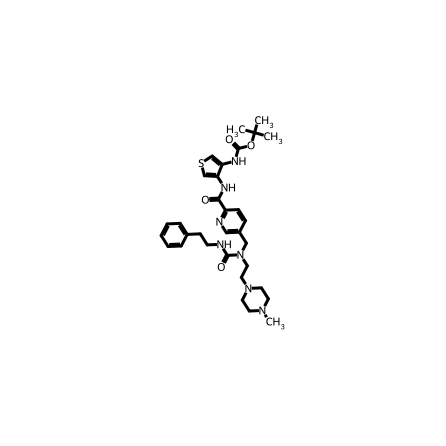 CN1CCN(CCN(Cc2ccc(C(=O)Nc3cscc3NC(=O)OC(C)(C)C)nc2)C(=O)NCCc2ccccc2)CC1